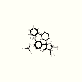 Cc1cc(C2(C3CCCC(c4cncnc4)C3)N=C(N)N(C)C2=O)ccc1OC(F)F